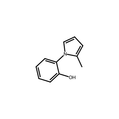 Cc1cccn1-c1ccccc1O